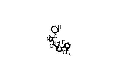 O=C(Nc1cnsc1OC1CCCNCC1)c1ccc(C(F)(F)F)c(-c2c(F)cccc2F)n1